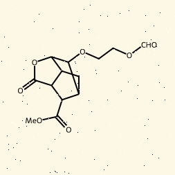 COC(=O)C1C2CC3C(OC(=O)C31)C2OCCOC=O